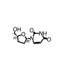 O=c1ccn([C@H]2CC[C@@H]([CH]O)O2)c(=O)[nH]1